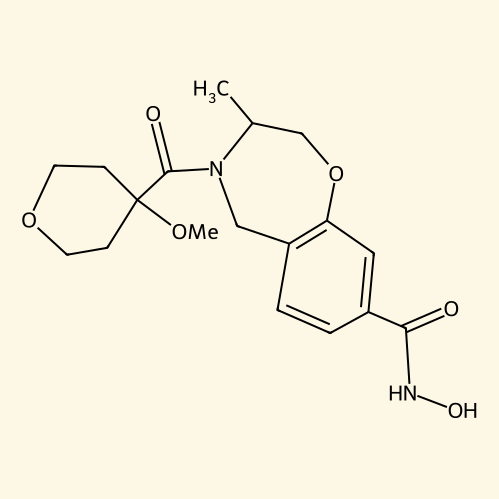 COC1(C(=O)N2Cc3ccc(C(=O)NO)cc3OCC2C)CCOCC1